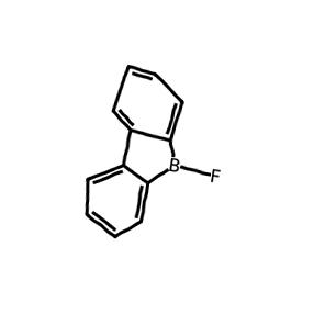 FB1c2ccccc2-c2ccccc21